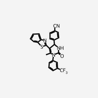 CC1=C(c2nc3ccccc3s2)C(c2ccc(C#N)cc2)NC(=O)N1c1cccc(C(F)(F)F)c1